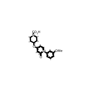 COc1cccc(-n2ccc(OC3CCN(C(=O)O)CC3)cc2=O)c1